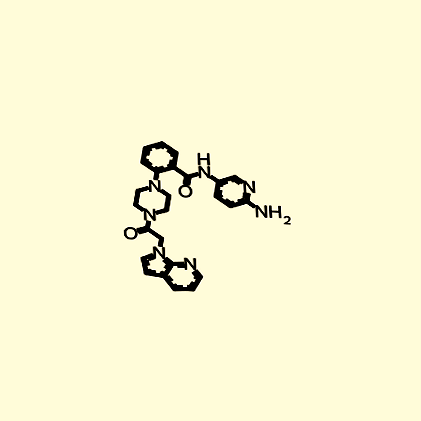 Nc1ccc(NC(=O)c2ccccc2N2CCN(C(=O)Cn3ccc4cccnc43)CC2)cn1